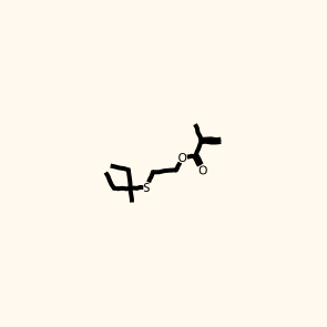 C=C(C)C(=O)OCCSC(C)(CC)CC